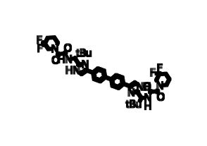 CC(C)(C)C(NC(=O)C(=O)N1CCCC(F)(F)C1)c1nc(-c2ccc(-c3ccc(-c4c[nH]c(C(NC(=O)C(=O)N5CCCC(F)(F)C5)C(C)(C)C)n4)cc3)cc2)c[nH]1